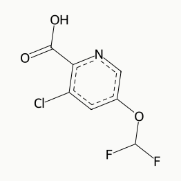 O=C(O)c1ncc(OC(F)F)cc1Cl